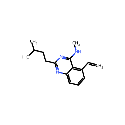 C=Cc1cccc2nc(CCC(C)C)nc(NC)c12